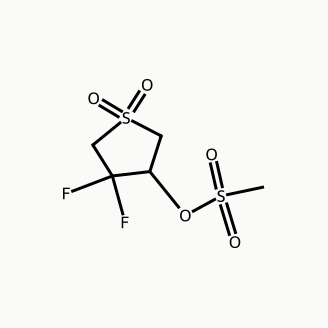 CS(=O)(=O)OC1CS(=O)(=O)CC1(F)F